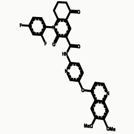 COc1cc2nccc(Oc3ccc(NC(=O)c4cc5c(n(-c6ccc(F)cc6F)c4=O)CCCC5=O)nc3)c2cc1OC